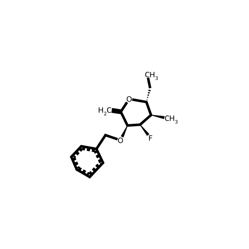 C=C1O[C@H](CC)[C@@H](C)[C@@H](F)[C@H]1OCc1ccccc1